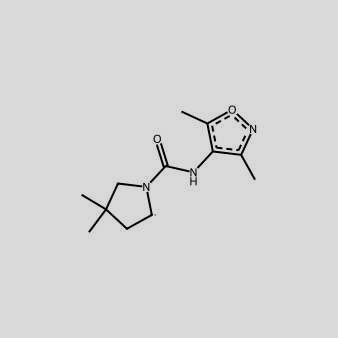 Cc1noc(C)c1NC(=O)N1[CH]CC(C)(C)C1